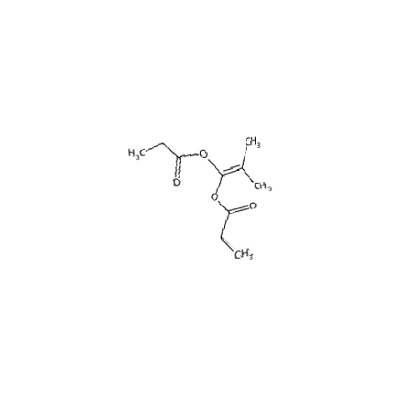 CCC(=O)OC(OC(=O)CC)=C(C)C